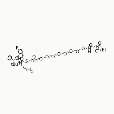 CCC1(C)CC(=O)N(CCC(=O)NCCOCCOCCOCCOCCOCCOCCOCCOCCC(=O)NCCSCC(=O)N(CCCN)C(c2nc(-c3cc(F)ccc3F)cn2Cc2ccccc2)C(C)(C)C)C1=O